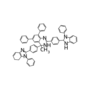 CC1(c2ccc(-c3nc4c(n3-c3ccccc3)CCC=C4)cc2)NC(c2ccc(C3Nc4ccccc4N3c3ccccc3)cc2)=Nc2c(-c3ccccc3)cc(-c3ccccc3)cc21